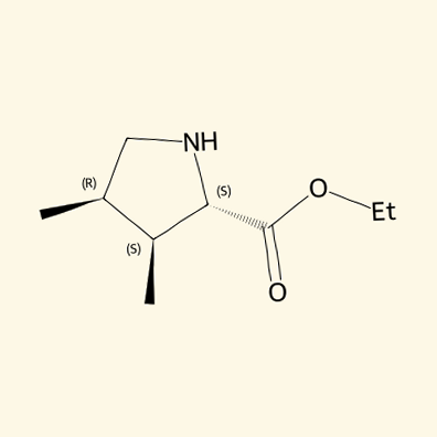 CCOC(=O)[C@H]1NC[C@H](C)[C@@H]1C